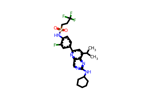 CC(C)c1cc(-c2ccc(NS(=O)(=O)CCC(F)(F)F)c(F)c2)nc2cnc(NC3CCCCC3)nc12